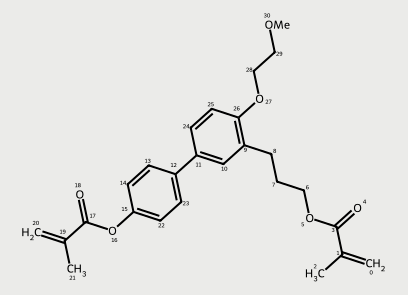 C=C(C)C(=O)OCCCc1cc(-c2ccc(OC(=O)C(=C)C)cc2)ccc1OCCOC